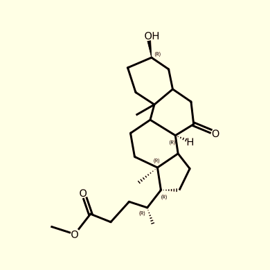 COC(=O)CC[C@@H](C)[C@H]1CCC2[C@@H]3C(=O)CC4C[C@H](O)CCC4(C)C3CC[C@@]21C